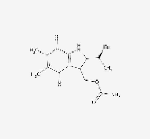 CC[C@H](C)[C@H](C)C1NC2=C(C(=O)C(C)=C(C)C2=O)C1COC(N)=O